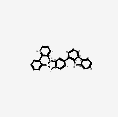 c1ccc2c(c1)B1Oc3ccc(-c4cccc5c4oc4ccccc45)cc3N1c1cccnc1-2